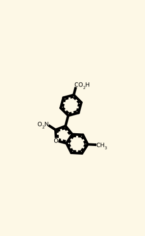 Cc1ccc2oc([N+](=O)[O-])c(-c3ccc(C(=O)O)cc3)c2c1